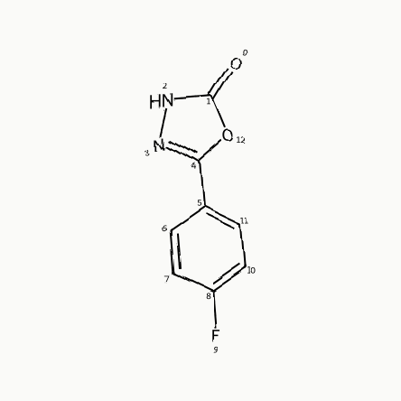 O=c1[nH]nc(-c2ccc(F)cc2)o1